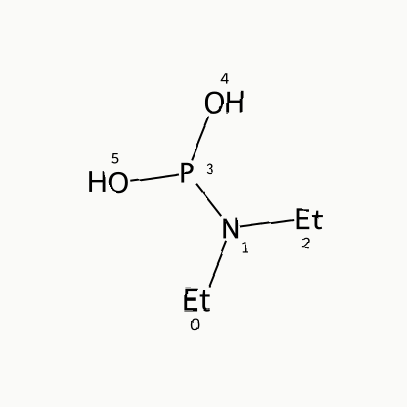 CCN(CC)P(O)O